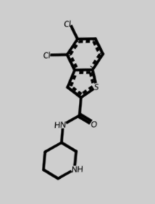 O=C(NC1CCCNC1)c1cc2c(Cl)c(Cl)ccc2s1